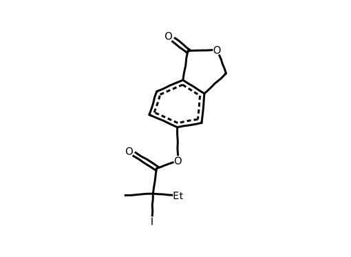 CCC(C)(I)C(=O)Oc1ccc2c(c1)COC2=O